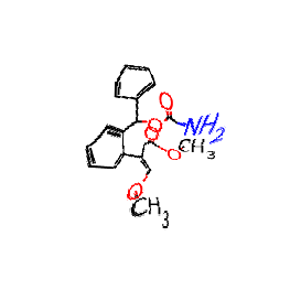 CO/C=C(/C(=O)OC)c1ccccc1C(OC(N)=O)c1ccccc1